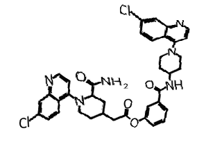 NC(=O)C1CC(CC(=O)Oc2cccc(C(=O)NC3CCN(c4ccnc5cc(Cl)ccc45)CC3)c2)CCN1c1ccnc2cc(Cl)ccc12